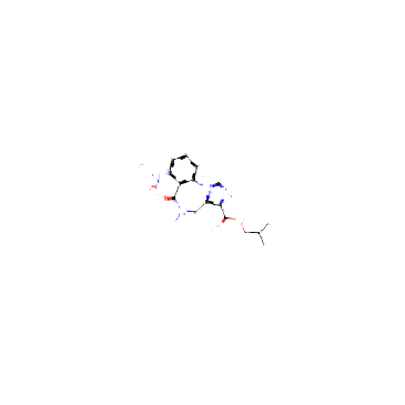 CC(C)COC(=O)c1ncn2c1CN(C)C(=O)c1c-2cccc1[N+](=O)[O-]